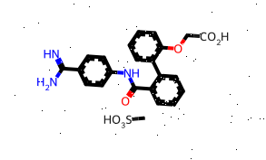 CS(=O)(=O)O.N=C(N)c1ccc(NC(=O)c2ccccc2-c2ccccc2OCC(=O)O)cc1